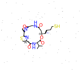 CC(C)C1NC(=O)[C@]2(C)CSC(=N2)c2coc(n2)CNC(=O)C[C@@H](/C=C/CCS)OC1=O